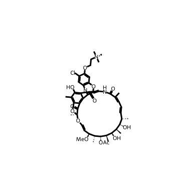 CO[C@H]1/C=C/O[C@@]2(C)Oc3c(C)c(O)c4c(=O)c(c5oc6cc(OCC[N+](C)(C)C)c(Cl)cc6nc-5c4c3C2=O)NC(=O)/C(C)=C\C=C\[C@H](C)[C@H](O)[C@@H](C)[C@@H](O)[C@@H](C)[C@H](OC(C)=O)[C@@H]1C